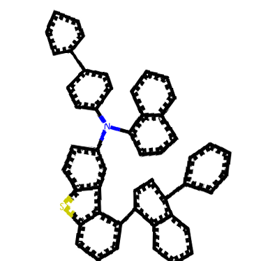 c1ccc(-c2ccc(N(c3ccc4sc5cccc(-c6ccc(-c7ccccc7)c7ccccc67)c5c4c3)c3cccc4ccccc34)cc2)cc1